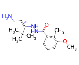 COc1cccc(C(=O)NN/C(=C/CN)C(C)(C)C)c1C